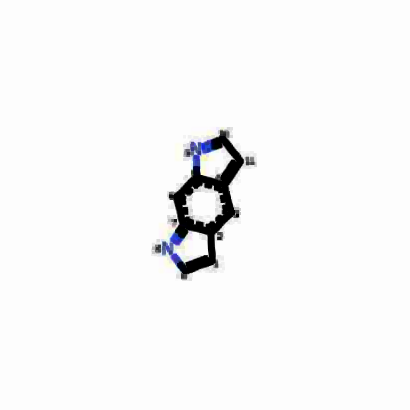 C1=Cc2cc3c(cc2=N1)N=CC=3